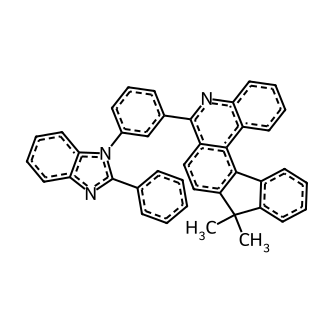 CC1(C)c2ccccc2-c2c1ccc1c(-c3cccc(-n4c(-c5ccccc5)nc5ccccc54)c3)nc3ccccc3c21